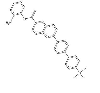 C=C(Oc1ccccc1N)c1ccc2cc(-c3ccc(-c4ccc([Si](C)(C)C)cc4)cc3)ccc2c1